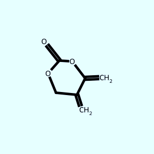 C=C1COC(=O)OC1=C